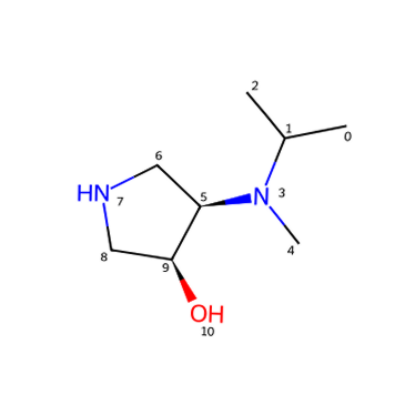 CC(C)N(C)[C@@H]1CNC[C@@H]1O